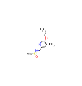 Cc1cc(C=N[S+]([O-])C(C)(C)C)ncc1OCCC(F)(F)F